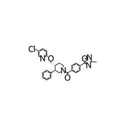 Cc1noc(-c2ccc(C(=O)N3CC[C@@H](COc4ccc(Cl)cn4)[C@H](c4ccccc4)C3)cc2)n1